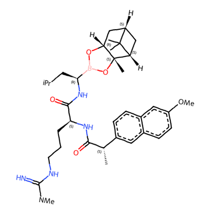 CNC(=N)NCCC[C@H](NC(=O)[C@@H](C)c1ccc2cc(OC)ccc2c1)C(=O)N[C@@H](CC(C)C)B1O[C@@H]2C[C@@H]3C[C@@H](C3(C)C)[C@]2(C)O1